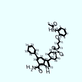 CC(=O)Nc1ccccc1OCCCS(=O)(=O)N1CCC(c2c[nH]c3c(C(N)=O)cc(-c4ccccc4)cc23)CC1